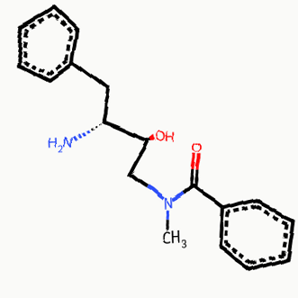 CN(C[C@H](O)[C@H](N)Cc1ccccc1)C(=O)c1ccccc1